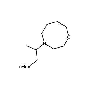 CCCCCCCC(C)N1CCCCOCC1